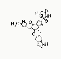 Cn1cc(Cn2c(=O)c3cc(S(=O)(=O)NC4(C)CC4)sc3n(Cc3ccc4cn[nH]c4c3)c2=O)cn1